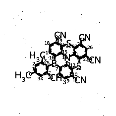 Cc1cc(C)c(B2c3ccc(C#N)c4c3N3c5c2ccc(C#N)c5Sc2c(C#N)cc(C#N)c(c23)S4)c(C)c1